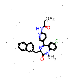 CC(=O)OCC(=O)Nc1ccc(C2=NC(Cc3ccc4ccccc4c3)C(=O)N(C)c3ccc(Cl)cc32)cn1